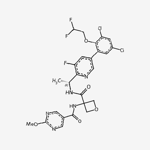 COc1ncc(C(=O)NC2(C(=O)N[C@H](C)c3ncc(-c4cc(Cl)cc(Cl)c4OCC(F)F)cc3F)COC2)cn1